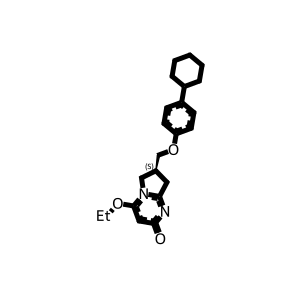 CCOc1cc(=O)nc2n1C[C@@H](COc1ccc(C3CCCCC3)cc1)C2